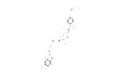 CC(C)C(=O)OCc1ccc(NC(=O)CNC(=O)C(NC(=O)CC(C)(C)OCCC(C)(C)C(=O)Oc2c(F)c(F)c(F)c(F)c2F)C(C)C)cc1